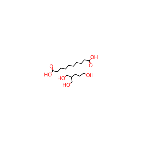 O=C(O)CCCCCCCCC(=O)O.OCCCC(CO)CO